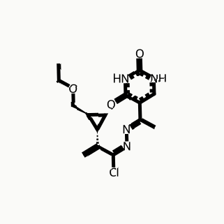 C=C(/C(Cl)=N\N=C(/C)c1c[nH]c(=O)[nH]c1=O)[C@H]1C[C@@H]1COCC